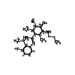 CCCNn1c(C)c(C(=O)NC(C)c2ccccc2F)c(C)c(Br)c1=O